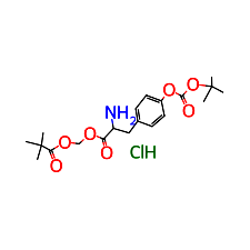 CC(C)(C)OC(=O)Oc1ccc(CC(N)C(=O)OCOC(=O)C(C)(C)C)cc1.Cl